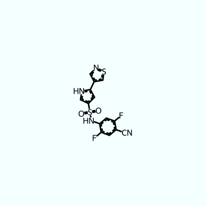 N#Cc1cc(F)c(NS(=O)(=O)c2c[nH]c(-c3cnsc3)c2)cc1F